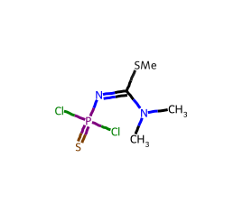 CSC(=NP(=S)(Cl)Cl)N(C)C